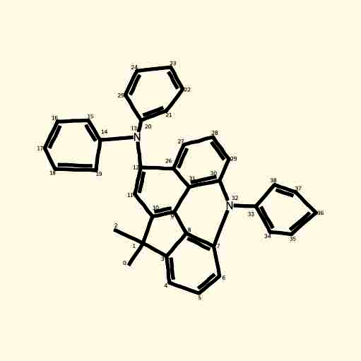 CC1(C)c2cccc3c2-c2c1cc(N(c1ccccc1)c1ccccc1)c1cccc(c21)N3c1ccccc1